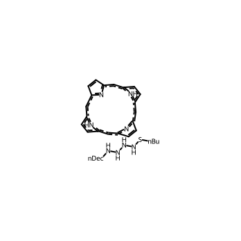 C1=Cc2cc3ccc(cc4nc(cc5ccc(cc1n2)[nH]5)C=C4)[nH]3.CCCCCCCCCCNNNNSCCCC